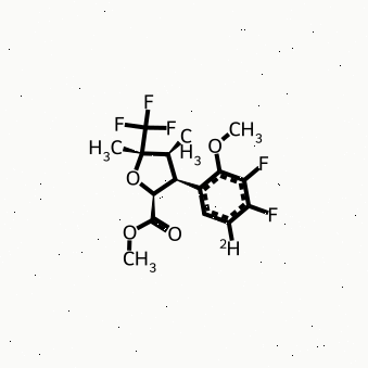 [2H]c1cc([C@H]2[C@@H](C(=O)OC)O[C@](C)(C(F)(F)F)[C@H]2C)c(OC)c(F)c1F